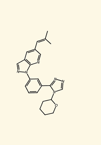 CC(C)=Cc1cnc2c(cnn2-c2cccc(-c3nncn3C3CCCCO3)c2)c1